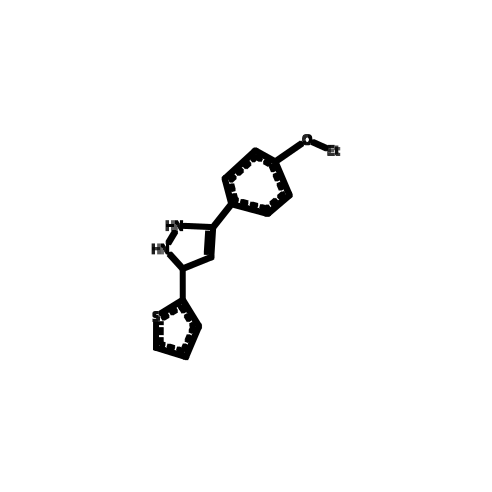 CCOc1ccc(C2=CC(c3cccs3)NN2)cc1